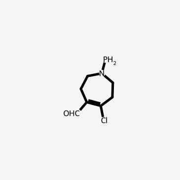 O=CC1=C(Cl)CCN(P)CC1